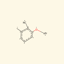 CCCOc1cccc(C)c1C#N